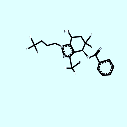 O=C(O[C@H]1c2c(C(F)(F)F)nn(CCCC(F)(F)F)c2C(O)CC1(F)F)c1ccccc1